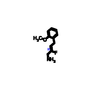 COc1ccccc1C/C=C(\F)CN